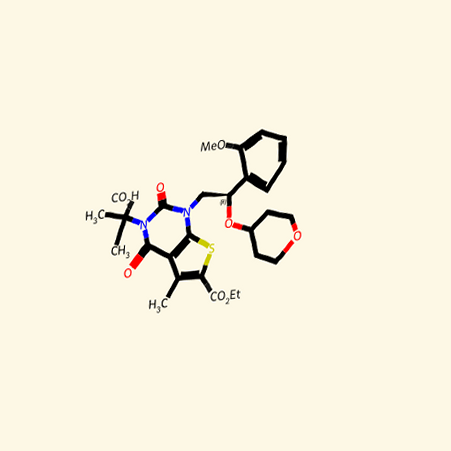 CCOC(=O)c1sc2c(c1C)c(=O)n(C(C)(C)C(=O)O)c(=O)n2C[C@H](OC1CCOCC1)c1ccccc1OC